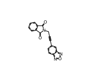 O=C1c2ccccc2C(=O)N1CC#Cc1ccc2nonc2c1